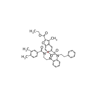 CCOC(=O)c1oc2ccc(S(=O)(=O)N(CCc3ccccc3)c3ccccc3N3CCN(C(=O)c4ccc(C)c(C)c4)CC3)cc2c1C